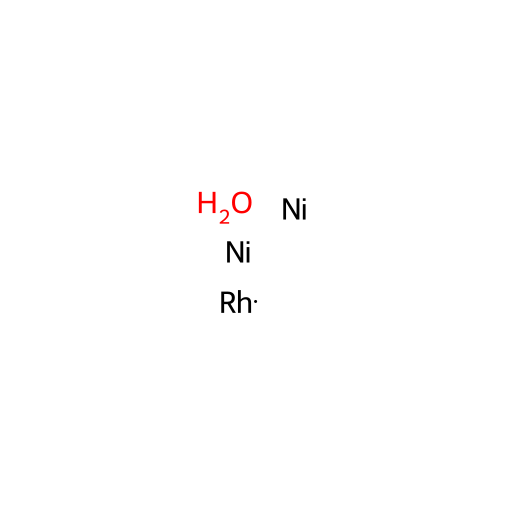 O.[Ni].[Ni].[Rh]